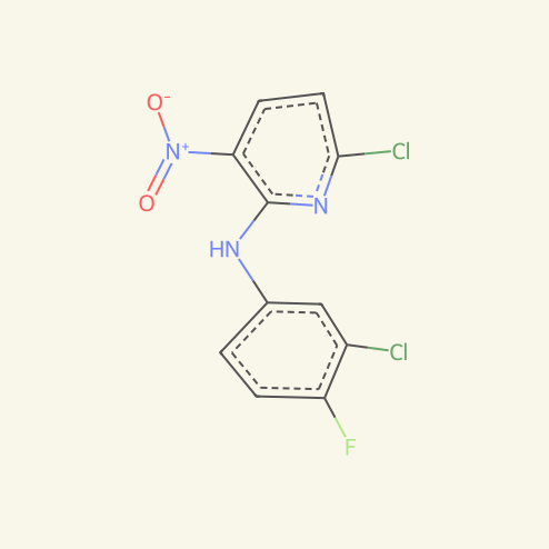 O=[N+]([O-])c1ccc(Cl)nc1Nc1ccc(F)c(Cl)c1